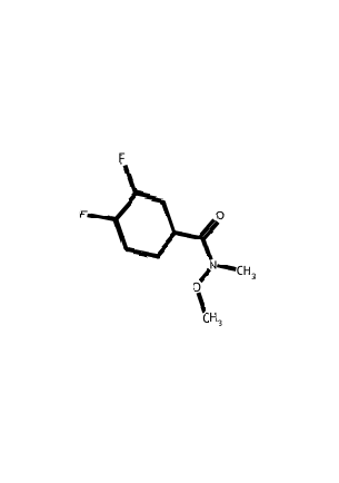 CON(C)C(=O)C1CCC(F)C(F)C1